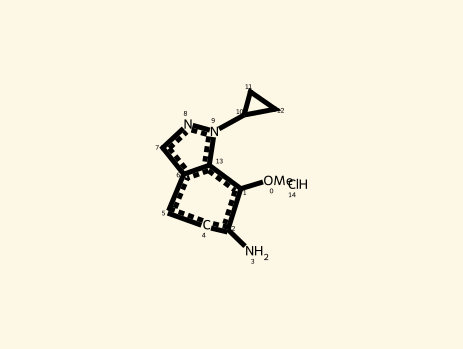 COc1c(N)ccc2cnn(C3CC3)c12.Cl